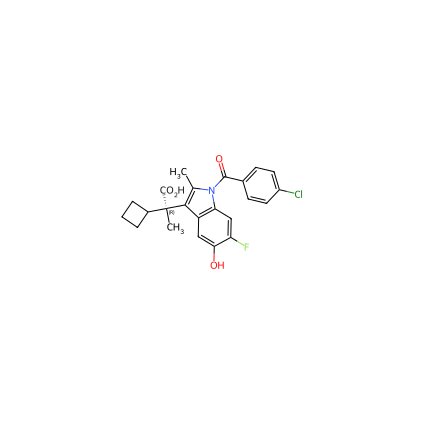 Cc1c([C@](C)(C(=O)O)C2CCC2)c2cc(O)c(F)cc2n1C(=O)c1ccc(Cl)cc1